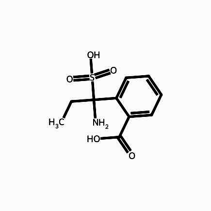 CCC(N)(c1ccccc1C(=O)O)S(=O)(=O)O